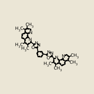 Cc1cnc2c(ccc3c(C)c(C)c(-c4nnc(-c5cccc(-c6nnc(-c7nc8c(ccc9c(C)c(C)cnc98)c(C)c7C)o6)c5)o4)nc32)c1C